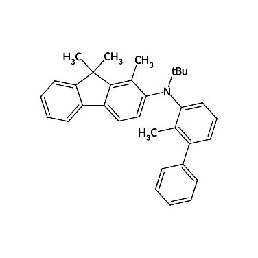 Cc1c(-c2ccccc2)cccc1N(c1ccc2c(c1C)C(C)(C)c1ccccc1-2)C(C)(C)C